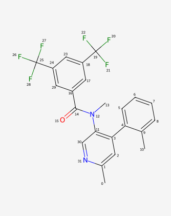 Cc1cc(-c2ccccc2C)c(N(C)C(=O)c2cc(C(F)(F)F)cc(C(F)(F)F)c2)cn1